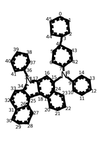 c1ccc(-c2ccc(N(c3ccccc3)c3cc4c(c5ccccc35)c3c5ccccc5ccc3n4-c3ccccc3)cc2)cc1